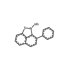 CCCN1Sc2cccc3ccc(-c4ccccc4)c1c23